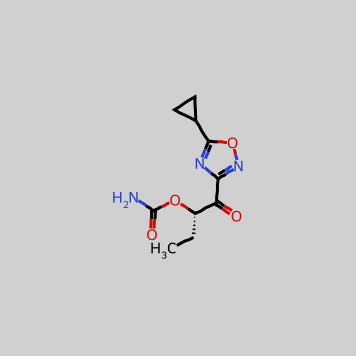 CC[C@H](OC(N)=O)C(=O)c1noc(C2CC2)n1